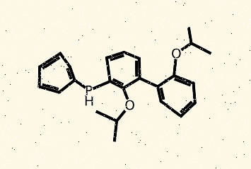 CC(C)Oc1ccccc1-c1cccc(Pc2ccccc2)c1OC(C)C